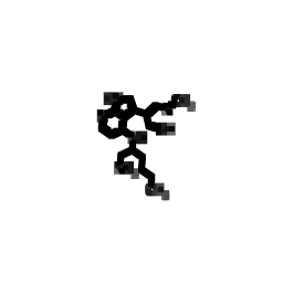 C=N/C=C(\C=N)c1c[nH]c2nccc(NC(CN)CCCC)c12